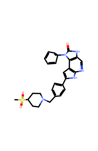 CS(=O)(=O)C1CCN(Cc2ccc(-c3cc4c(ncc5[nH]c(=O)n(-c6ccccc6)c54)[nH]3)cc2)CC1